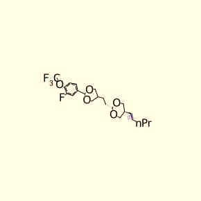 CCC/C=C/[C@H]1CO[C@H](CCC2COC(c3ccc(OC(F)(F)F)c(F)c3)OC2)OC1